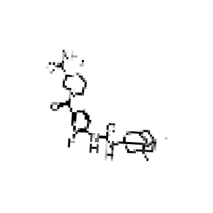 C[C@]12CC3CC(NC(=O)Nc4ccc(C(=O)N5CCC[C@H](C(N)=O)C5)cc4F)(C1)C[C@@](C)(C3)C2